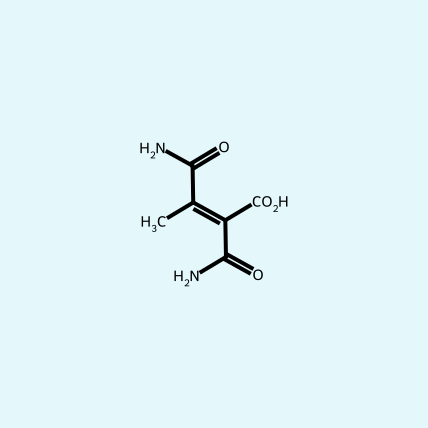 CC(C(N)=O)=C(C(N)=O)C(=O)O